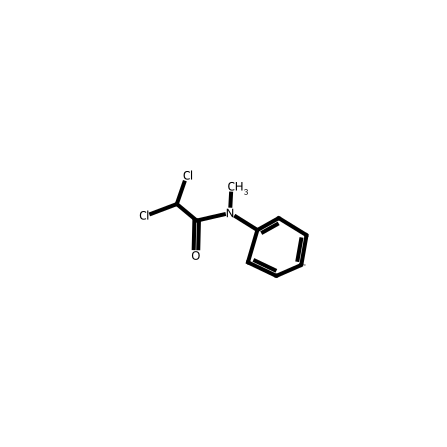 CN(C(=O)C(Cl)Cl)c1cc[c]cc1